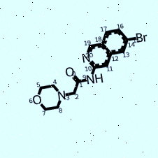 O=C(CN1CCOCC1)Nc1cc2cc(Br)ccc2cn1